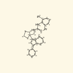 CC(C)c1cccc(C(C)C)c1NC(=O)NCC1(n2cc(-c3ccccc3)c3cccnc32)CCCC1